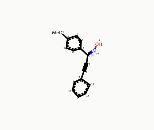 COc1ccc(/C(C#Cc2ccccc2)=N\O)cc1